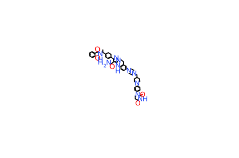 COc1ccccc1C(=O)NC(C)C1=CC=C(c2nn3c(c2C(N)=O)Nc2ccc(N4CCN(CC5CCN(c6ccc(N7CCC(=O)NC7=O)cc6)CC5)CC4)cc2CC3)CC1